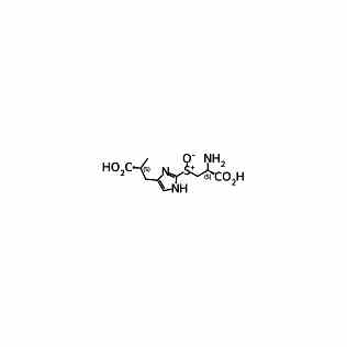 C[C@@H](Cc1c[nH]c([S+]([O-])C[C@@H](N)C(=O)O)n1)C(=O)O